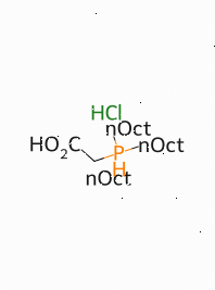 CCCCCCCC[PH](CCCCCCCC)(CCCCCCCC)CC(=O)O.Cl